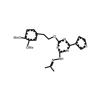 COc1ccc(CCOc2nc(NN=C(C)C)nc(-c3ccsc3)n2)cc1OC